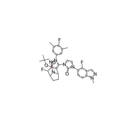 Cc1cc(-n2nc3c(c2-n2ccn(-c4ccc5c(cnn5C)c4F)c2=O)C2CCC(C3F)N2C(=O)OC(C)(C)C)cc(C)c1F